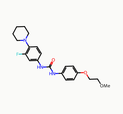 COCCOc1ccc(NC(=O)Nc2ccc(N3CCCCC3)c(F)c2)cc1